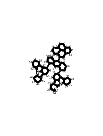 c1cc2ccc3cccc4c(-c5c6cccc(-c7ccc8c9ccccc9n9c%10ccccc%10c7c89)c6cc6c(-c7ccc8c9ccccc9n9c%10ccccc%10c7c89)cccc56)cc(c1)c2c34